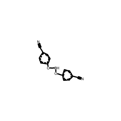 N#Cc1ccc(OBOc2ccc(C#N)cc2)cc1